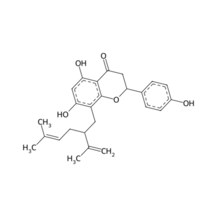 C=C(C)C(CC=C(C)C)Cc1c(O)cc(O)c2c1OC(c1ccc(O)cc1)CC2=O